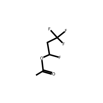 CC(=O)OC(F)CC(F)(F)F